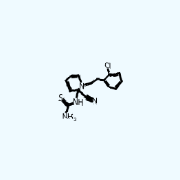 N#CC1(NC(N)=S)C=CC=CN1CCc1ccccc1Cl